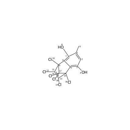 Cc1cc(O)c2c(c1O)C1(Cl)C(Cl)=C(Cl)C2(Cl)C1(Cl)Cl